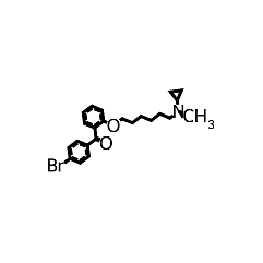 CN(CCCCCCOc1ccccc1C(=O)c1ccc(Br)cc1)C1CC1